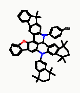 CC(C)(C)c1ccc(N2B3c4cc5c(cc4N(c4ccc6c(c4)C(C)(C)CCC6(C)C)c4cc6c(oc7ccccc76)c(c43)-c3cc4c(cc32)C(C)(C)c2ccccc2-4)C(C)(C)CCC5(C)C)cc1